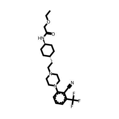 CCOCC(=O)N[C@H]1CC[C@H](CCN2CCN(c3cccc(C(F)(F)F)c3C#N)CC2)CC1